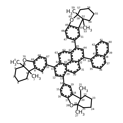 CC12CCCCC1(C)c1cc(-c3cc(-c4ccc5c(c4)C4(C)CCCCC4(C)O5)c4ccc5c(-c6cccc7ccccc67)cc(-c6ccc7c(c6)C6(C)CCCCC6(C)O7)c6ccc3c4c65)ccc1O2